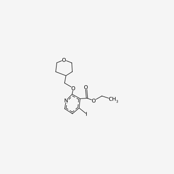 CCOC(=O)c1c(I)ccnc1OCC1CCOCC1